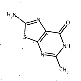 Cc1nc2sc(N)nc2c(=O)[nH]1